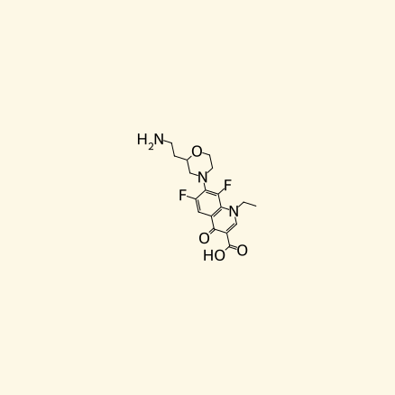 CCn1cc(C(=O)O)c(=O)c2cc(F)c(N3CCOC(CCN)C3)c(F)c21